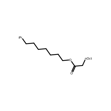 CCCCCCCCCC(=O)OCCCCCCCC(C)C